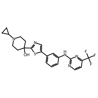 OC1(c2ncc(-c3cccc(Nc4nccc(C(F)(F)F)n4)c3)s2)CCN(C2CC2)CC1